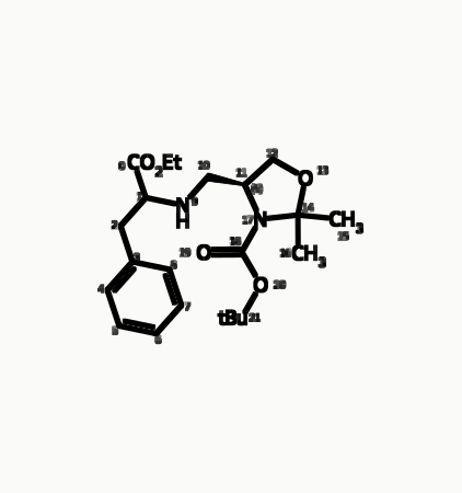 CCOC(=O)C(Cc1ccccc1)NC[C@H]1COC(C)(C)N1C(=O)OC(C)(C)C